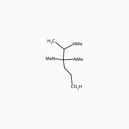 [CH2]C(NC)C(CCC(=O)O)(NC)NC